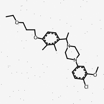 CCOCCCOc1ccc(C(C)N2CCN(c3ccc(Cl)c(OC)c3)CC2)c(C)c1C